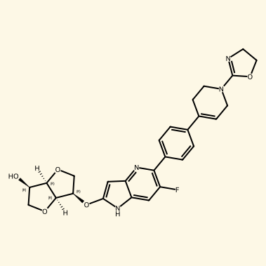 O[C@@H]1CO[C@H]2[C@@H]1OC[C@H]2Oc1cc2nc(-c3ccc(C4=CCN(C5=NCCO5)CC4)cc3)c(F)cc2[nH]1